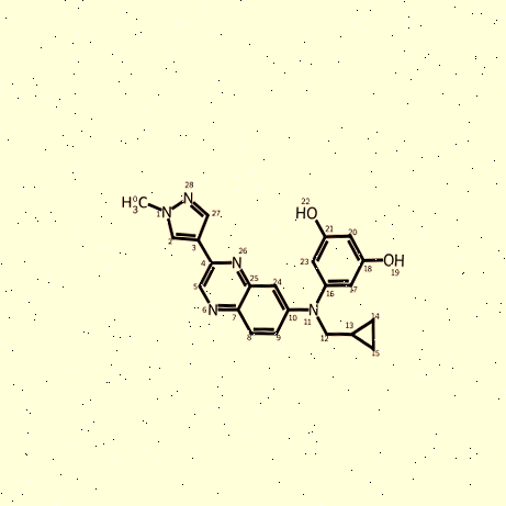 Cn1cc(-c2cnc3ccc(N(CC4CC4)c4cc(O)cc(O)c4)cc3n2)cn1